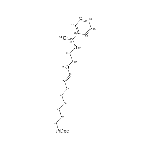 CCCCCCCCCCCCCCCCC=COCCOC(=O)c1ccccc1